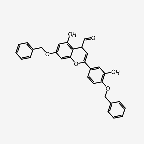 O=CC1C=C(c2ccc(OCc3ccccc3)c(O)c2)Oc2cc(OCc3ccccc3)cc(O)c21